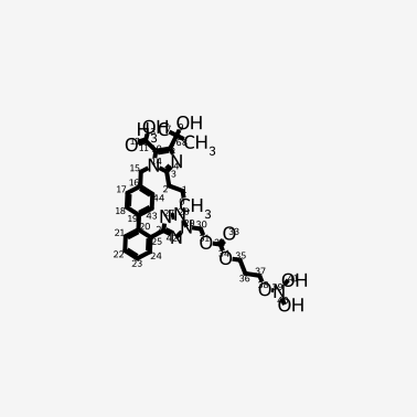 CCCc1nc(C(C)(C)O)c(C(=O)O)n1Cc1ccc(-c2ccccc2-c2nnn(COC(=O)OCCCON(O)O)n2)cc1